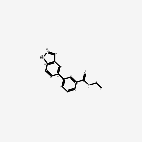 CCOC(=O)c1cccc(-c2ccc3[nH]ncc3c2)c1